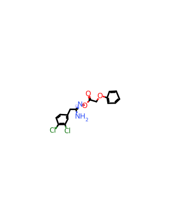 N/C(Cc1ccc(Cl)c(Cl)c1)=N\OC(=O)COc1ccccc1